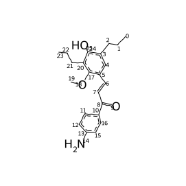 CCCc1cc(C=CC(=O)c2ccc(N)cc2)c(OC)c(CCC)c1O